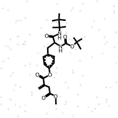 C=C(CC(=O)OC)C(=O)Oc1ccc(CC(NC(=O)OC(C)(C)C)C(=O)NC(C)(C)C(C)(C)C)cc1